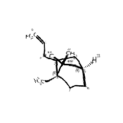 C=CCC1C[C@H]2CC[C@@]1(C)C2(C)C